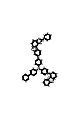 c1ccc(-c2ccc(N(c3ccc(-c4ccc5c(c4)oc4ccc6sc(-c7ccccc7)nc6c45)cc3)c3ccc(-c4cccc5oc6ccccc6c45)cc3)cc2)cc1